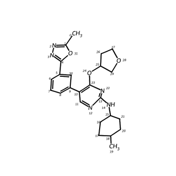 Cc1nnc(-c2cccc(-c3cnc(NC4CCC(C)CC4)nc3OC3CCOC3)c2)o1